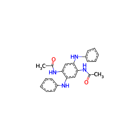 CC(=O)Nc1cc(Nc2ccccc2)c(NC(C)=O)cc1Nc1ccccc1